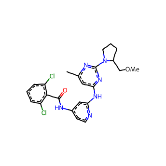 COCC1CCCN1c1nc(C)cc(Nc2cc(NC(=O)c3c(Cl)cccc3Cl)ccn2)n1